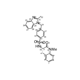 CNC(=O)[C@H](Cc1ccccc1)NS(=O)(=O)c1ccc(Cn2c(C)nc3ccccc32)cc1